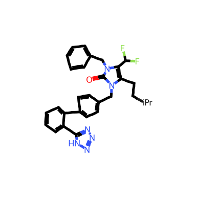 CC(C)CCc1c(C(F)F)n(Cc2ccccc2)c(=O)n1Cc1ccc(-c2ccccc2-c2nnn[nH]2)cc1